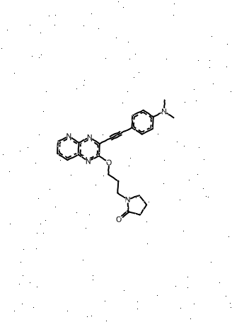 CN(C)c1ccc(C#Cc2nc3ncccc3nc2OCCCN2CCCC2=O)cc1